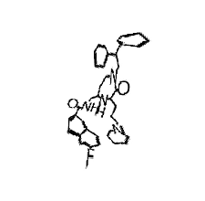 O=C(NCC1CCN(CC(c2ccccc2)c2ccccc2)C(=O)C(CCCN2CCCCC2)N1)c1ccc2cc(F)ccc2c1